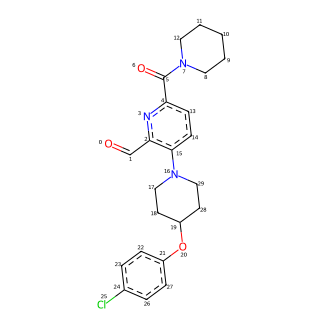 O=Cc1nc(C(=O)N2CCCCC2)ccc1N1CCC(Oc2ccc(Cl)cc2)CC1